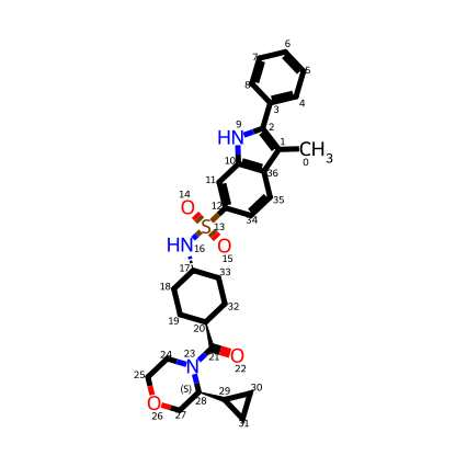 Cc1c(-c2ccccc2)[nH]c2cc(S(=O)(=O)N[C@H]3CC[C@H](C(=O)N4CCOC[C@@H]4C4CC4)CC3)ccc12